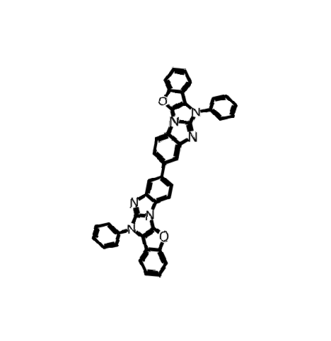 c1ccc(-n2c3c4ccccc4oc3n3c4ccc(-c5ccc6c(c5)nc5n(-c7ccccc7)c7c8ccccc8oc7n65)cc4nc23)cc1